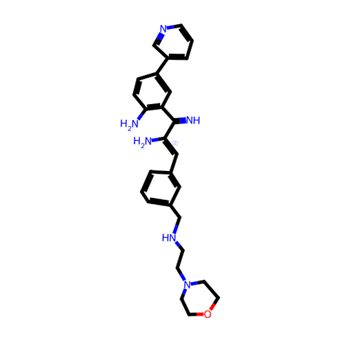 N=C(/C(N)=C/c1cccc(CNCCN2CCOCC2)c1)c1cc(-c2cccnc2)ccc1N